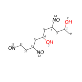 CC(O)CC(CC(O)CC(CCN=O)N=O)N=O